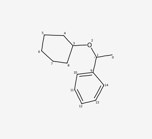 C[C](OC1CCCCC1)c1ccccc1